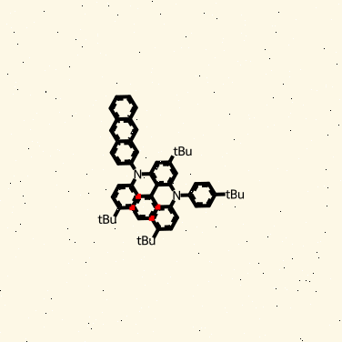 CC(C)(C)c1ccc(N(c2ccc(C(C)(C)C)cc2)c2cc(C(C)(C)C)cc(N(c3ccc(C(C)(C)C)cc3)c3ccc4cc5ccccc5cc4c3)c2-c2ccccc2)cc1